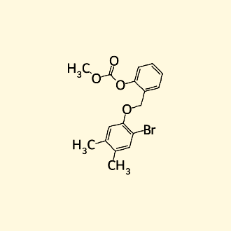 COC(=O)Oc1ccccc1COc1cc(C)c(C)cc1Br